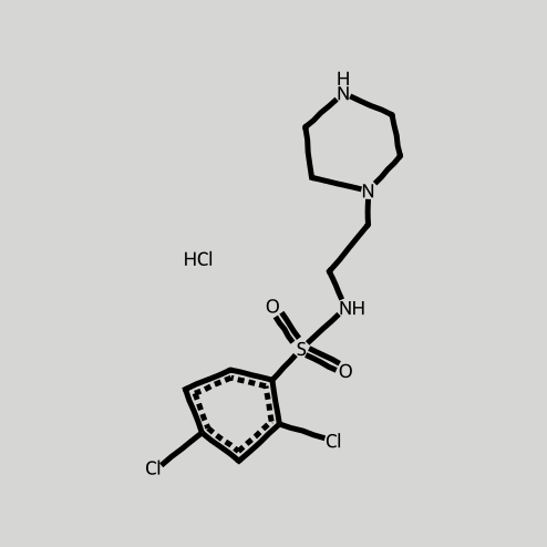 Cl.O=S(=O)(NCCN1CCNCC1)c1ccc(Cl)cc1Cl